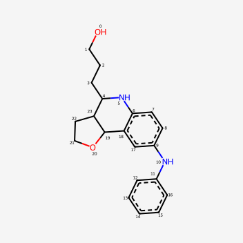 OCCCC1Nc2ccc(Nc3ccccc3)cc2C2OCCC12